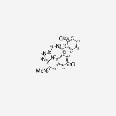 CNC(C)c1nnc2n1-c1ccc(Cl)cc1C(c1ccccc1Cl)=NC2